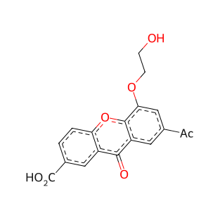 CC(=O)c1cc(OCCO)c2oc3ccc(C(=O)O)cc3c(=O)c2c1